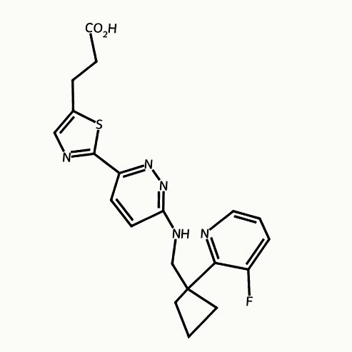 O=C(O)CCc1cnc(-c2ccc(NCC3(c4ncccc4F)CCC3)nn2)s1